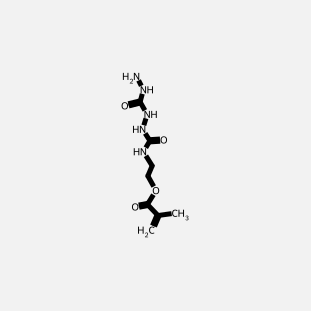 C=C(C)C(=O)OCCNC(=O)NNC(=O)NN